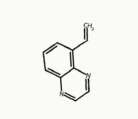 C=Cc1cccc2nccnc12